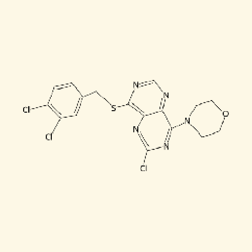 Clc1nc(N2CCOCC2)c2ncnc(SCc3ccc(Cl)c(Cl)c3)c2n1